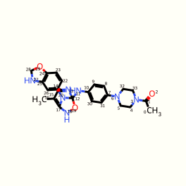 CC(=O)N1CCN(c2ccc(NC34N=CC(C)=C(NO3)N4c3ccc4c(c3)NCO4)cc2)CC1